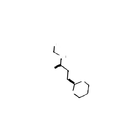 O=C(CC=C1SCCCS1)NCP